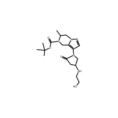 CC1Cn2ncc(N3CC(NCCO)CC3=O)c2CN1C(=O)OC(C)(C)C